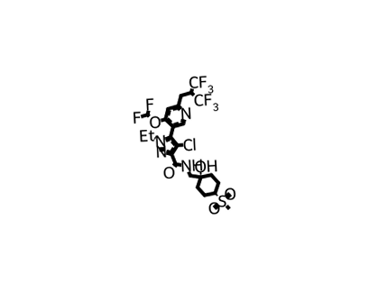 CCn1nc(C(=O)NC[C@]2(O)CC[C@@H](S(C)(=O)=O)CC2)c(Cl)c1-c1cnc(CC(C(F)(F)F)C(F)(F)F)cc1OC(F)F